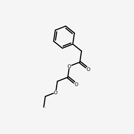 [CH2]COCC(=O)OC(=O)Cc1ccccc1